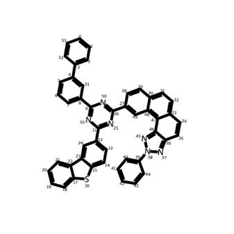 c1ccc(-c2cccc(-c3nc(-c4ccc5sc6ccccc6c5c4)nc(-c4ccc5ccc6ccc7nn(-c8ccccc8)nc7c6c5c4)n3)c2)cc1